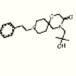 CC(C)(O)CN1CC2(CCN(CCc3ccccc3)CC2)OCC1=O